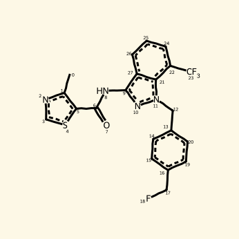 Cc1ncsc1C(=O)Nc1nn(Cc2ccc(CF)cc2)c2c(C(F)(F)F)cccc12